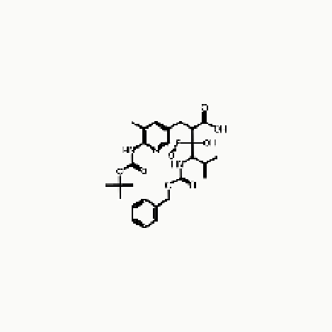 Cc1cc(CC(C(=O)O)C(O)([PH2]=O)C(NC(=O)OCc2ccccc2)C(C)C)cnc1NC(=O)OC(C)(C)C